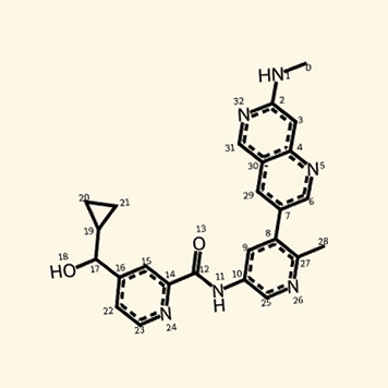 CNc1cc2ncc(-c3cc(NC(=O)c4cc(C(O)C5CC5)ccn4)cnc3C)cc2cn1